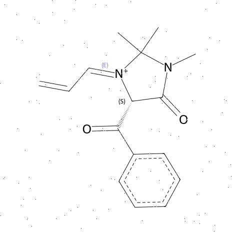 C=C/C=[N+]1\[C@@H](C(=O)c2ccccc2)C(=O)N(C)C1(C)C